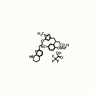 COc1ccc(C#N)cc1C(CC(=O)O)Cc1cc(OCCc2ccc3c(n2)NCCC3)n(C)n1.O=C(O)C(F)(F)F